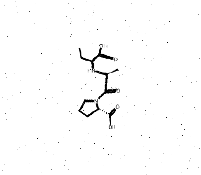 CCC(N[C@@H](C)C(=O)N1CCC[C@H]1C(=O)O)C(=O)O